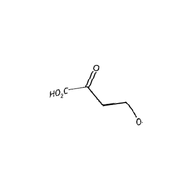 [O]CCC(=O)C(=O)O